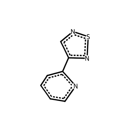 c1ccc(-c2cnsn2)nc1